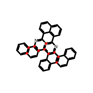 c1ccc(-c2nc(-c3cccc4ccccc34)nc(-c3cccc4cccc(-c5nc(-c6ccccc6)nc(-c6cccc7ccccc67)n5)c34)n2)cc1